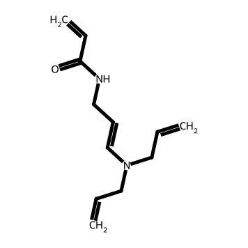 C=CCN(C=CCNC(=O)C=C)CC=C